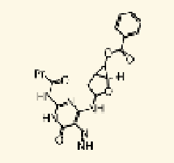 CC(C)C(=O)Nc1nc(N[C@H]2CC3[C@@H](OC(=O)c4ccccc4)[C@H]3O2)c(N=N)c(=O)[nH]1